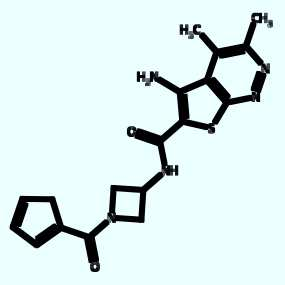 Cc1nnc2sc(C(=O)NC3CN(C(=O)C4=CC=CC4)C3)c(N)c2c1C